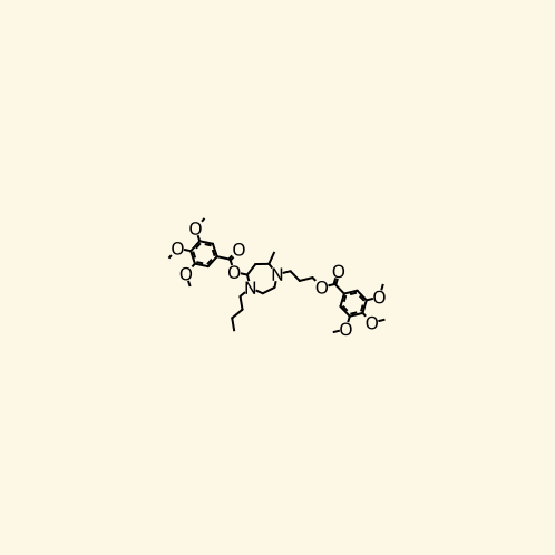 CCCCN1CCN(CCCOC(=O)c2cc(OC)c(OC)c(OC)c2)C(C)CC1OC(=O)c1cc(OC)c(OC)c(OC)c1